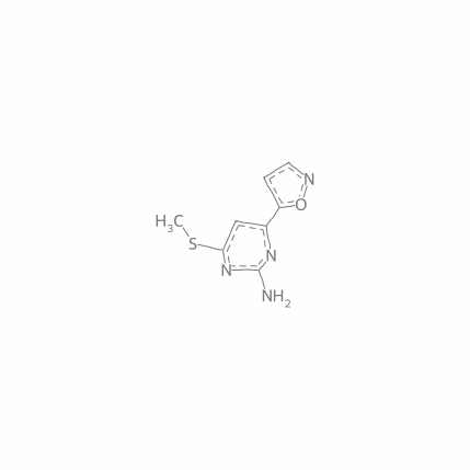 CSc1cc(-c2ccno2)nc(N)n1